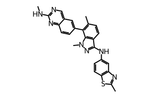 CNc1ncc2cc(-c3c(C)ccc4c(Nc5ccc6sc(C)nc6c5)nn(C)c34)ccc2n1